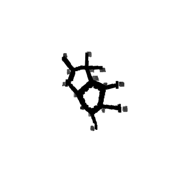 CC1=Nc2cc(I)c(I)c(I)c2C1(C)C